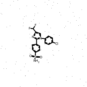 NS(=O)(=O)c1ccc(-c2nc(C(F)F)cn2-c2ccc(Cl)cc2)cc1